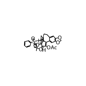 CC(=O)OC1=C2c3cc4c(cc3CCN3C[C@H](S(=O)(=O)c5ccccc5)C[C@]23[C@@H]2OC(C)(C)O[C@H]12)OCO4